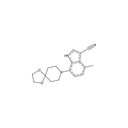 Cc1ccc(N2CCC3(CC2)OCCO3)c2[nH]cc(C#N)c12